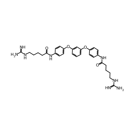 N=C(N)NCCCCC(=O)Nc1ccc(Oc2cccc(Oc3ccc(NC(=O)CCCCNC(=N)N)cc3)c2)cc1